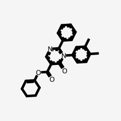 Cc1ccc(-n2c(-c3ccccc3)ncc(C(=O)OC3=CCCCC3)c2=O)cc1C